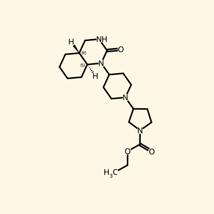 CCOC(=O)N1CCC(N2CCC(N3C(=O)NC[C@H]4CCCC[C@@H]43)CC2)C1